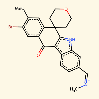 C/N=C\c1ccc2c3c([nH]c2c1)C1(CCOCC1)c1cc(OC)c(Br)cc1C3=O